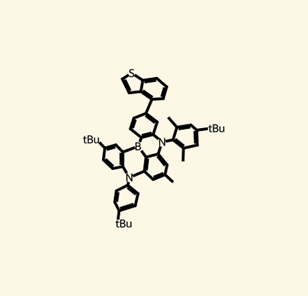 Cc1cc2c3c(c1)N(c1c(C)cc(C(C)(C)C)cc1C)c1cc(-c4cccc5sccc45)ccc1B3c1cc(C(C)(C)C)ccc1N2c1ccc(C(C)(C)C)cc1